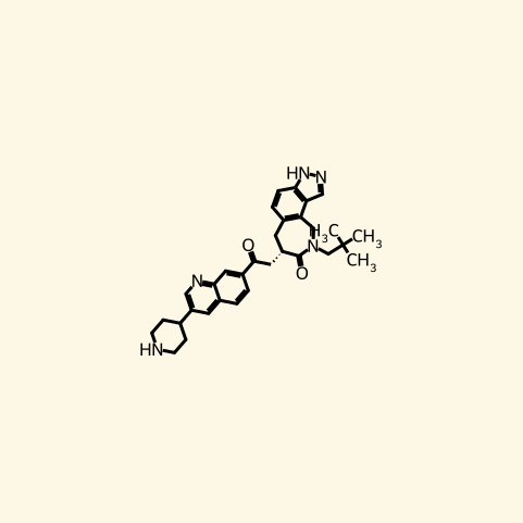 CC(C)(C)CN1Cc2c(ccc3[nH]ncc23)C[C@@H](CC(=O)c2ccc3cc(C4CCNCC4)cnc3c2)C1=O